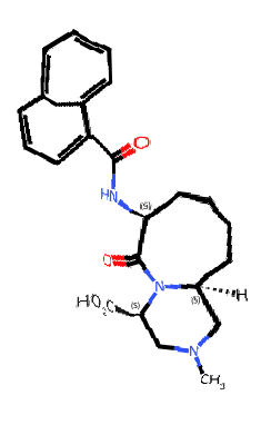 CN1C[C@@H]2CCCC[C@H](NC(=O)c3cccc4ccccc34)C(=O)N2[C@H](C(=O)O)C1